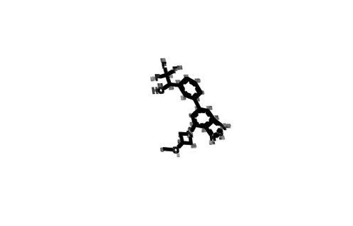 COC1CN(c2cc(-c3cccc(C(O)C(F)(F)F)c3)cc3nonc23)C1